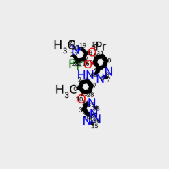 Cc1cc(Nc2ncnc3ccc(OC(C)C)c(O[C@@H]4CCN(C)CC4(F)F)c23)ccc1Oc1cc2ncnn2cn1